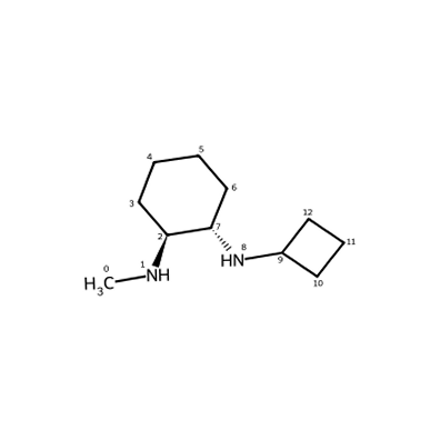 CN[C@H]1CCCC[C@@H]1NC1CCC1